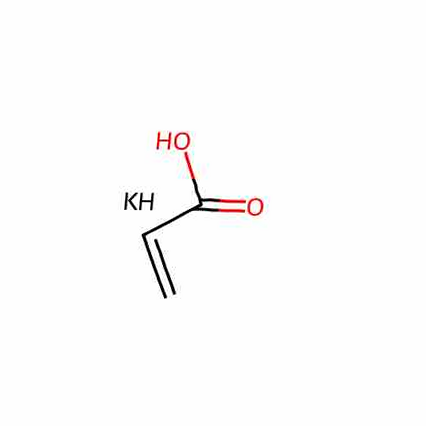 C=CC(=O)O.[KH]